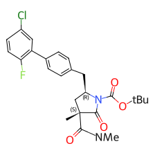 CNC(=O)[C@]1(C)C[C@@H](Cc2ccc(-c3cc(Cl)ccc3F)cc2)N(C(=O)OC(C)(C)C)C1=O